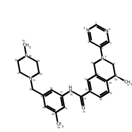 C[C@@H]1CN(c2cncnc2)Cc2cc(C(=O)Nc3cc(CN4CCN(C)CC4)cc(C(F)(F)F)c3)ccc21